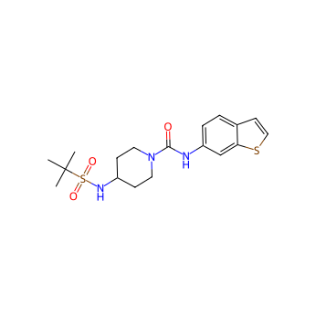 CC(C)(C)S(=O)(=O)NC1CCN(C(=O)Nc2ccc3ccsc3c2)CC1